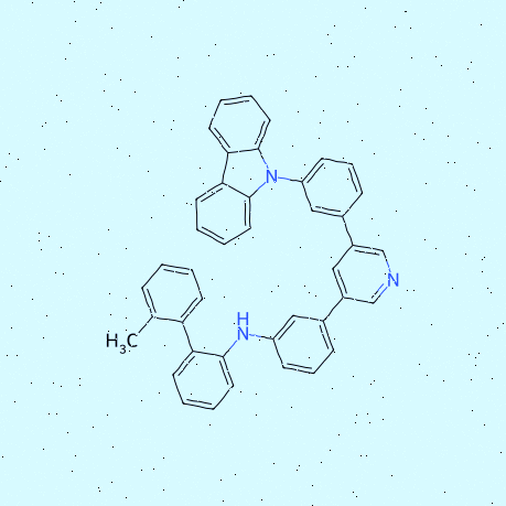 Cc1ccccc1-c1ccccc1Nc1cccc(-c2cncc(-c3cccc(-n4c5ccccc5c5ccccc54)c3)c2)c1